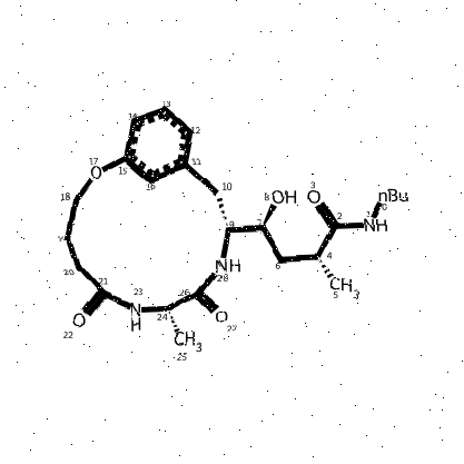 CCCCNC(=O)[C@H](C)C[C@H](O)[C@H]1Cc2cccc(c2)OCCCC(=O)N[C@@H](C)C(=O)N1